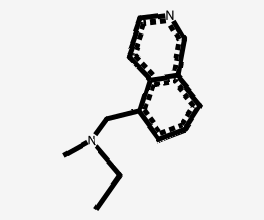 CCN(C)Cc1cccc2cnccc12